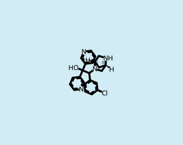 OC(c1cccnc1)(c1cccnc1)C(c1cccc(Cl)c1)N1C[C@@H]2C[C@H]1CN2